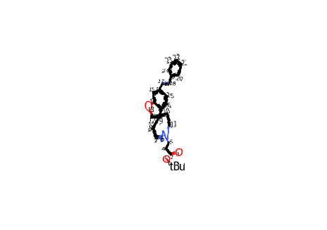 CC(C)(C)OC(=O)CCN1CCC2(CC1)COc1cc(/C=C/c3ccccc3)ccc12